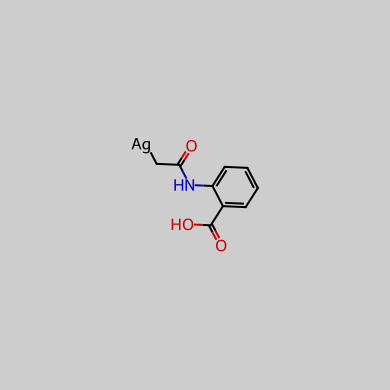 O=C([CH2][Ag])Nc1ccccc1C(=O)O